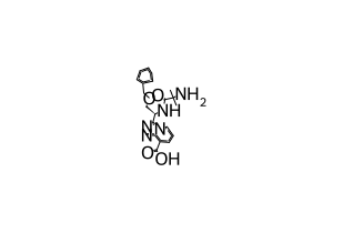 CC(C)(N)C(=O)N[C@H](COCc1ccccc1)c1nnc2c(C(=O)O)cccn12